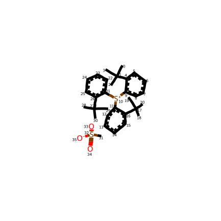 CC(C)(C)c1ccccc1[S+](c1ccccc1C(C)(C)C)c1ccccc1C(C)(C)C.CS(=O)(=O)[O-]